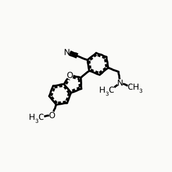 COc1ccc2oc(-c3cc(CN(C)C)ccc3C#N)cc2c1